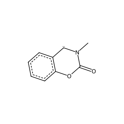 CN1[C]c2ccccc2OC1=O